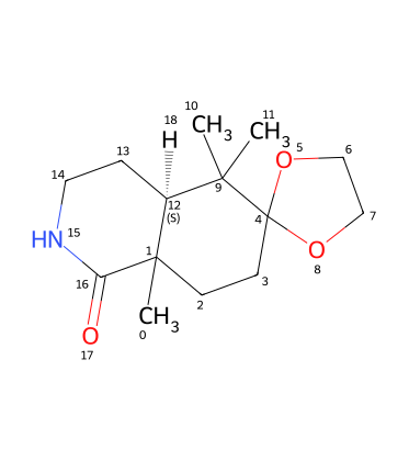 CC12CCC3(OCCO3)C(C)(C)[C@@H]1CCNC2=O